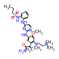 C=C(C(N)=O)c1cc(Nc2nccc(Nc3ccccc3NS(=O)(=O)CCC)n2)c(OC)cc1N(C)CCN(C)C